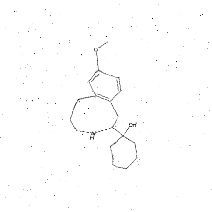 COc1ccc2c(c1)CCCNC(C1(O)CCCCC1)C2